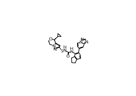 O=C(NSc1cc2n(n1)CCOC2C1CC1)Nc1c(-c2ccn3ncnc3c2)ccc2c1CCC2